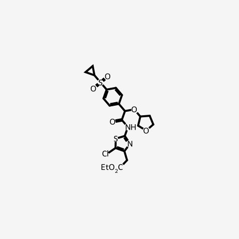 CCOC(=O)Cc1nc(NC(=O)C(OC2CCOC2)c2ccc(S(=O)(=O)C3CC3)cc2)sc1Cl